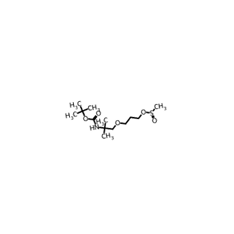 CS(=O)OCCCOCC(C)(C)NC(=O)OC(C)(C)C